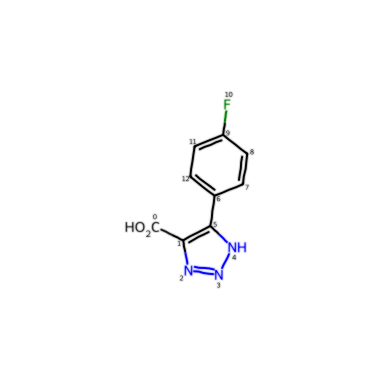 O=C(O)c1nn[nH]c1-c1ccc(F)cc1